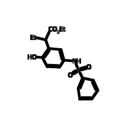 CCOC(=O)C(CC)c1cc(NS(=O)(=O)c2ccccc2)ccc1O